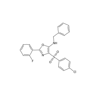 O=S(=O)(c1ccc(Cl)cc1)c1nc(-c2ccccc2F)oc1NCc1ccccc1